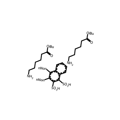 CC(C)COC(=O)CCCCCN.CC(C)COC(=O)CCCCCN.CCCCCCCCCc1c(S(=O)(=O)O)c(S(=O)(=O)O)c2ccccc2c1CCCCCCCCC